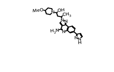 COC1CCN(C(O)CC(C)n2cc3c(N)nc4cc(-c5cc[nH]n5)ccc4c3n2)CC1